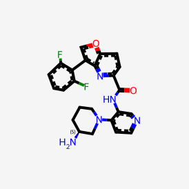 N[C@H]1CCCN(c2ccncc2NC(=O)c2ccc3occ(-c4c(F)cccc4F)c3n2)C1